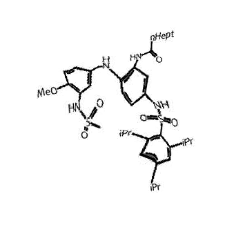 CCCCCCCC(=O)Nc1cc(NS(=O)(=O)c2c(C(C)C)cc(C(C)C)cc2C(C)C)ccc1Nc1ccc(OC)c(NS(C)(=O)=O)c1